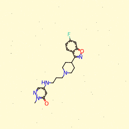 Cn1ncc(NCCCN2CCC(c3noc4cc(F)ccc34)CC2)cc1=O